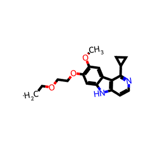 [CH2]COCCOc1cc2[nH]c3ccnc(C4CC4)c3c2cc1OC